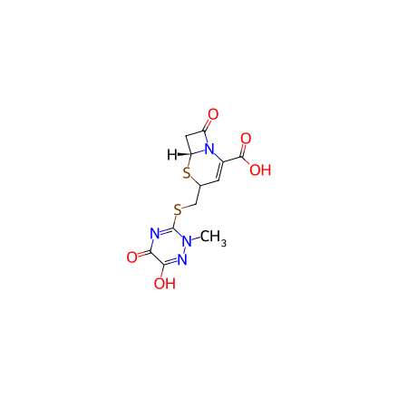 Cn1nc(O)c(=O)nc1SCC1C=C(C(=O)O)N2C(=O)C[C@H]2S1